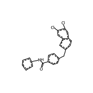 O=C(Nc1ccccc1)c1ccc(Cc2ccc3cc(Cl)c(Cl)cc3c2)cc1